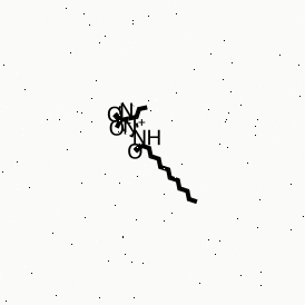 CCCCCCCCCCCC(=O)NC[N+](C)(C)C(CCC)(C(=O)[O-])N(C)C